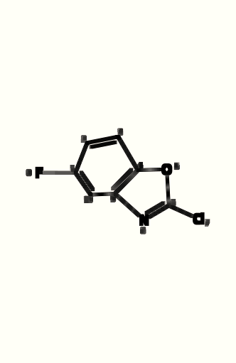 Fc1ccc2oc(Cl)nc2c1